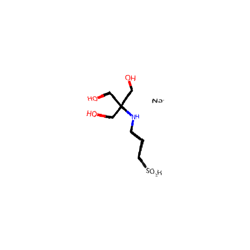 O=S(=O)(O)CCCNC(CO)(CO)CO.[Na]